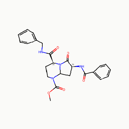 COC(=O)N1CC[C@@H](C(=O)NCc2ccccc2)N2C(=O)[C@@H](NC(=O)c3ccccc3)CC12